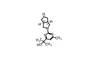 Cc1cc(C(C)(C)O)nc(N2C[C@H]3CNC[C@H]3C2)n1